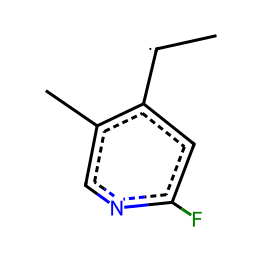 C[CH]c1cc(F)ncc1C